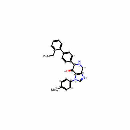 CNCc1ccccc1-c1ccc(C2NCc3ncn(-c4ccc(OC)cc4)c3C2=O)cc1